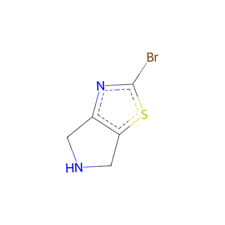 Brc1nc2c(s1)CNC2